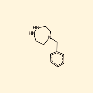 c1ccc(CN2CCNNCC2)cc1